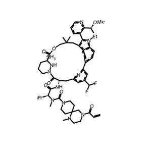 C=CC(=O)N1CCN(C)C2(CCN(C(=O)N(C)[C@H](C(=O)N[C@H]3Cc4cc(C(F)F)cc(n4)-c4ccc5c(c4)c(c(-c4cccnc4[C@H](C)OC)n5CC)CC(C)(C)COC(=O)[C@@]4([SiH3])CCCN(N4)C3=O)C(C)C)CC2)C1